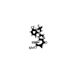 COC(=O)C1CC1C(=O)c1ncc(N(CC(C)(C)F)c2cc(C(F)(F)F)ccc2F)nc1OC